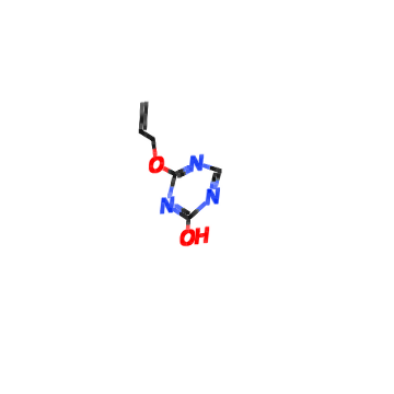 C=CCOc1ncnc(O)n1